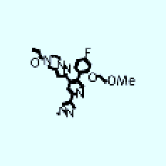 C=CC(=O)N1CCn2nc(-c3cc(-c4cnn(C)c4)ncc3-c3ccc(F)cc3OCCOC)cc2C1